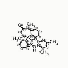 Cc1cc(C)nc(OC(C(=O)O)C2(c3ccccc3)c3ccccc3N(C)C(=O)CN2C)n1